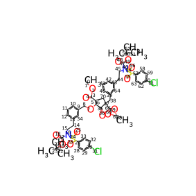 CCOC(=O)C1=C(OCc2cccc(CCN(C(=O)OC(C)(C)C)S(=O)(=O)c3ccc(Cl)cc3)c2)C(=O)C(Cc2cccc(CCN(C(=O)OC(C)(C)C)S(=O)(=O)c3ccc(Cl)cc3)c2)(C2OC(C)O2)C1